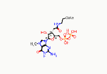 COCCNC(=O)C[C@H]1[C@@H](O)[C@H](n2c[n+](C)c3c(=O)[nH]c(N)nc32)O[C@@H]1COP(=O)(O)OP(=O)(O)O